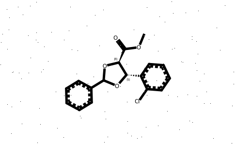 COC(=O)[C@@H]1OC(c2ccccc2)O[C@H]1c1ccccc1Cl